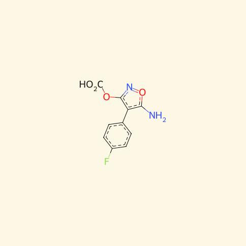 Nc1onc(OC(=O)O)c1-c1ccc(F)cc1